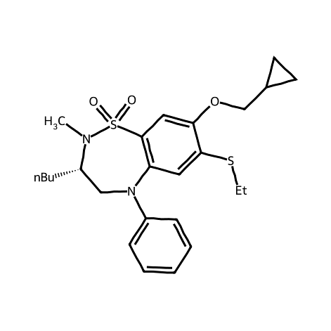 CCCC[C@H]1CN(c2ccccc2)c2cc(SCC)c(OCC3CC3)cc2S(=O)(=O)N1C